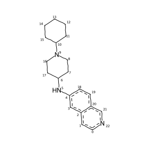 c1cc2cc(NC3CCN(C4CCCCC4)CC3)ccc2cn1